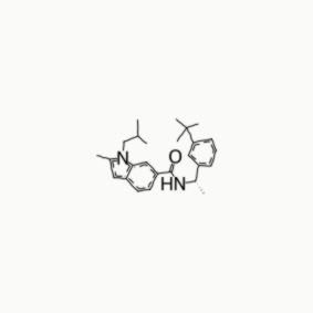 Cc1cc2ccc(C(=O)N[C@@H](C)c3cccc(C(C)(C)C)c3)cc2n1CC(C)C